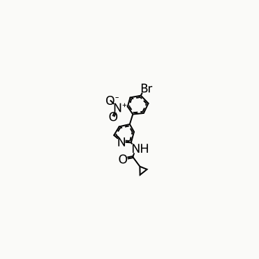 O=C(Nc1cc(-c2ccc(Br)cc2[N+](=O)[O-])ccn1)C1CC1